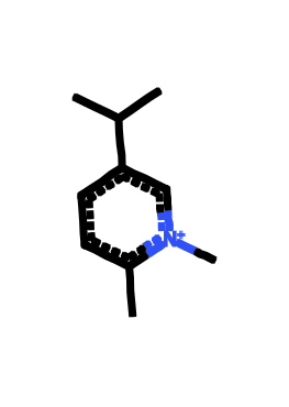 Cc1ccc(C(C)C)c[n+]1C